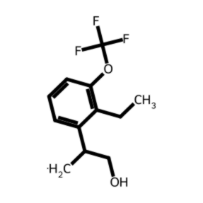 [CH2]C(CO)c1cccc(OC(F)(F)F)c1CC